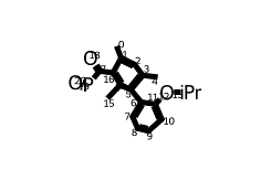 Cc1cc(C)c(-c2ccccc2OC(C)C)c(C)c1C(=O)P=O